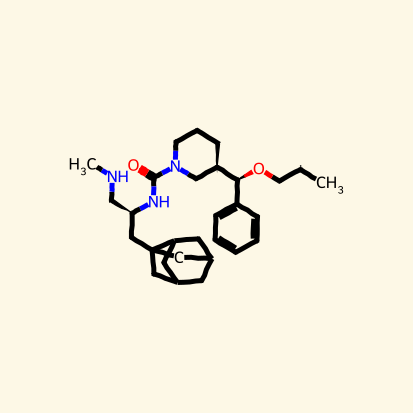 C[CH]CO[C@@H](c1ccccc1)[C@@H]1CCCN(C(=O)N[C@H](CNC)CC23CC4CC(CC2C4)C3)C1